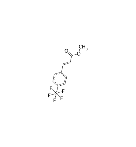 COC(=O)/C=C/c1ccc(S(F)(F)(F)(F)F)cc1